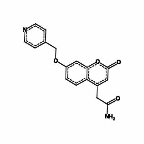 NC(=O)Cc1cc(=O)oc2cc(OCc3ccncc3)ccc12